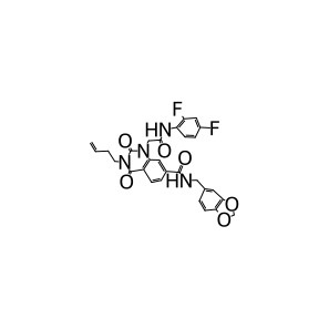 C=CCCn1c(=O)c2ccc(C(=O)NCc3ccc4c(c3)OCO4)cc2n(CC(=O)Nc2ccc(F)cc2F)c1=O